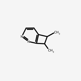 CC1c2ccnnc2C1C